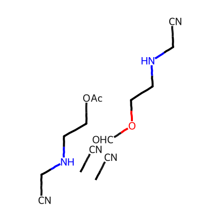 CC#N.CC#N.CC(=O)OCCNCC#N.N#CCNCCOC=O